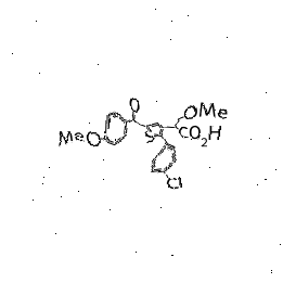 COCC(C(=O)O)c1cc(C(=O)c2ccc(OC)cc2)sc1-c1ccc(Cl)cc1